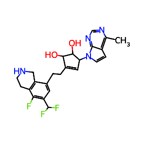 Cc1ncnc2c1ccn2C1C=C(CCc2cc(C(F)F)c(F)c3c2CNCC3)C(O)C1O